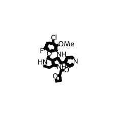 COc1c(Cl)cc(F)cc1Nc1c(-c2ccncc2OCC2CCO2)[nH]c2c1C(=O)NCC2